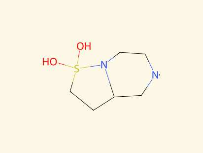 OS1(O)CCC2C[N]CCN21